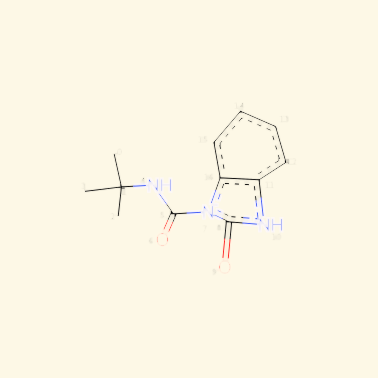 CC(C)(C)NC(=O)n1c(=O)[nH]c2ccccc21